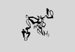 COc1cc2nc(N3CCOCC3)nc(NC(N)=O)c2cc1OCCN1CCOCC1